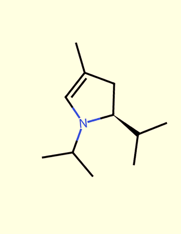 CC1=CN(C(C)C)[C@H](C(C)C)C1